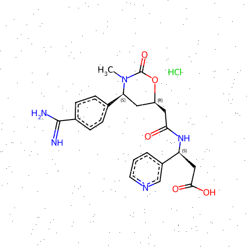 CN1C(=O)O[C@@H](CC(=O)N[C@@H](CC(=O)O)c2cccnc2)C[C@H]1c1ccc(C(=N)N)cc1.Cl